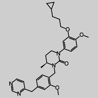 COc1cc(Cc2ccncn2)ccc1CN1C(=O)N(c2ccc(OC)c(OCCCC3CC3)c2)CC[C@@H]1C